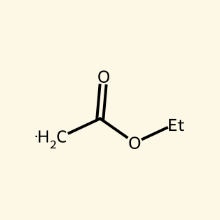 [CH2]COC([CH2])=O